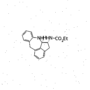 CCOC(=O)N[C@@H]1Cc2cccc3c2[C@H]1Nc1ccccc1C3